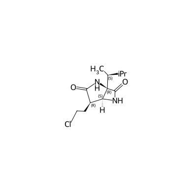 CC(C)[C@H](C)[C@@]12NC(=O)[C@H](CCCl)[C@@H]1NC2=O